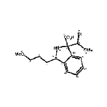 CCC(OC)C1(C(=O)O)NN(CCCOC)c2ccccc21